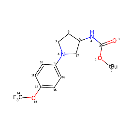 CC(C)(C)OC(=O)NC1CCN(c2ccc(OC(F)(F)F)cc2)C1